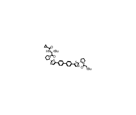 CC(C)(C)CC(=O)N1CCC[C@H]1c1ncc(-c2ccc(-c3ccc(-c4cnc([C@@H]5CCCN5C(=O)[C@H](NC(=O)C5CC5)C(C)(C)C)s4)cc3)cc2)s1